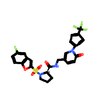 O=C(NCc1ccc(=O)n(-c2ccc(C(F)(F)F)cc2)c1)[C@@H]1CCCN1S(=O)(=O)c1cc2cc(F)ccc2o1